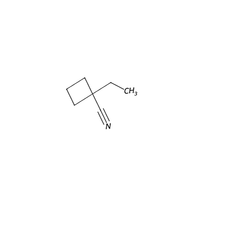 CCC1(C#N)CCC1